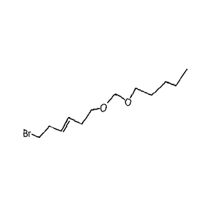 CCCCCOCOCCC=CCCBr